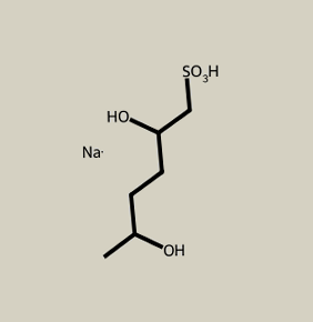 CC(O)CCC(O)CS(=O)(=O)O.[Na]